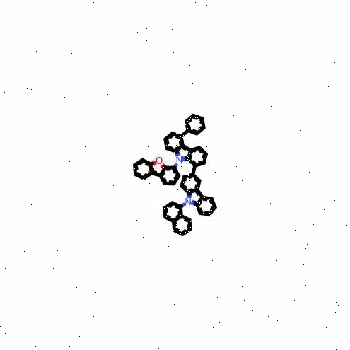 c1ccc(-c2cccc3c2c2cccc(-c4ccc5c(c4)c4ccccc4n5-c4cccc5ccccc45)c2n3-c2cccc3c2oc2ccccc23)cc1